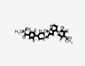 CNc1c(F)cn(-c2ccnc3c2cc(CN2CCC(c4c(F)cc(C(=O)N(C)C)cc4F)CC2)n3C)c(=O)c1F